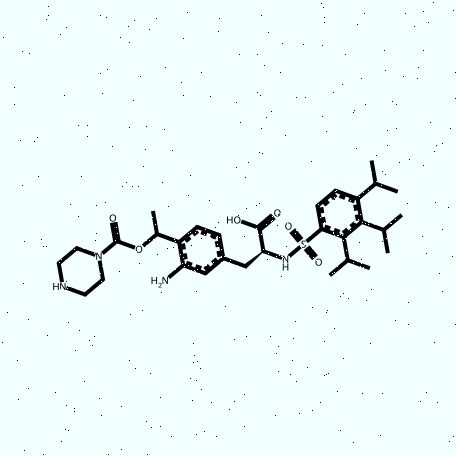 CC(C)c1ccc(S(=O)(=O)N[C@@H](Cc2ccc(C(C)OC(=O)N3CCNCC3)c(N)c2)C(=O)O)c(C(C)C)c1C(C)C